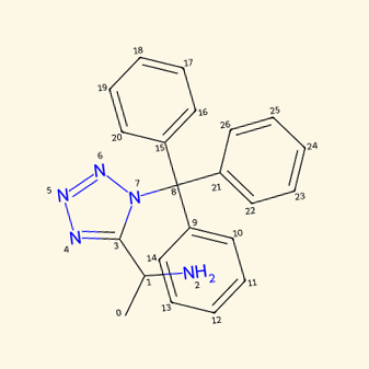 CC(N)c1nnnn1C(c1ccccc1)(c1ccccc1)c1ccccc1